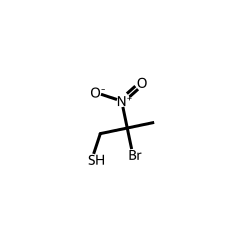 CC(Br)(CS)[N+](=O)[O-]